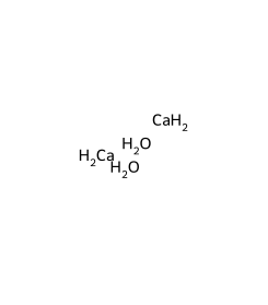 O.O.[CaH2].[CaH2]